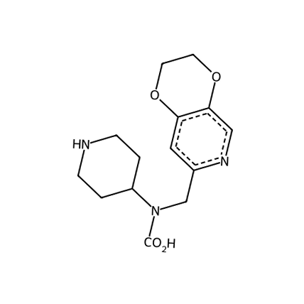 O=C(O)N(Cc1cc2c(cn1)OCCO2)C1CCNCC1